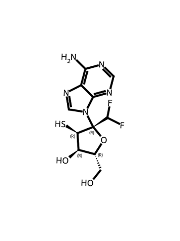 Nc1ncnc2c1ncn2[C@]1(C(F)F)O[C@H](CO)[C@@H](O)[C@H]1S